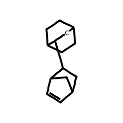 C1=CC2CC1CC2C1CC2CCC1CC2